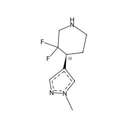 Cn1cc([C@@H]2CCNCC2(F)F)cn1